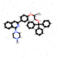 CCN1CCN(c2nc(-c3ccc(O[C@@H](C)COC(c4ccccc4)(c4ccccc4)c4ccccc4)cc3)cc3ccccc23)CC1